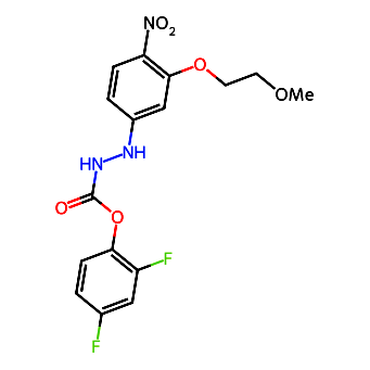 COCCOc1cc(NNC(=O)Oc2ccc(F)cc2F)ccc1[N+](=O)[O-]